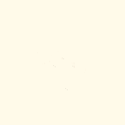 CC(NC(=O)O)c1nc2ccc(F)c(Cl)c2c(=O)n1-c1cccc(C#N)c1